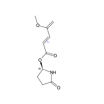 C=C(/C=C/C(=O)O[C@@H]1CCC(=O)N1)OC